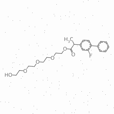 CC(C(=O)OCCOCCOCCOCCO)c1ccc(-c2ccccc2)c(F)c1